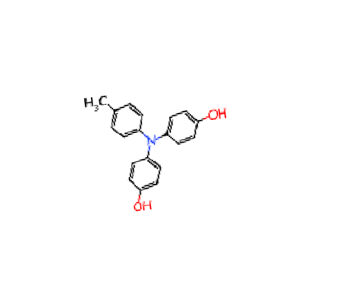 Cc1ccc(N(c2ccc(O)cc2)c2ccc(O)cc2)cc1